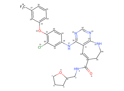 O=C(NCC1CCCO1)C1=Cc2c(ncnc2Nc2ccc(Oc3cccc(C(F)(F)F)c3)c(Cl)c2)NCC1